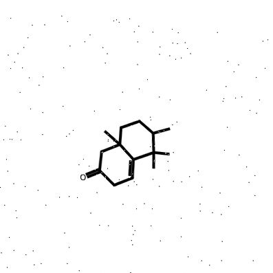 CC1CCC2(C)CC(=O)CC=C2C1(C)C